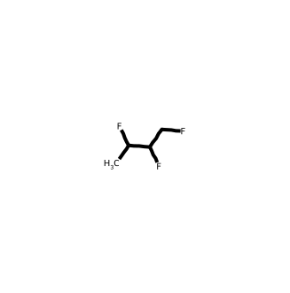 CC(F)C(F)CF